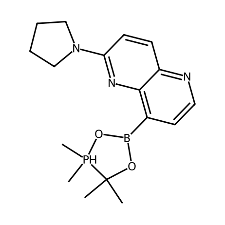 CC1(C)OB(c2ccnc3ccc(N4CCCC4)nc23)O[PH]1(C)C